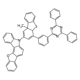 CC12C=C(n3c4ccccc4c4c5oc6ccccc6c5ccc43)C=C(c3cccc(-c4nc(-c5ccccc5)nc(-c5ccccc5)n4)c3)C1Sc1ccccc12